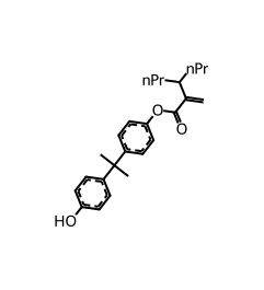 C=C(C(=O)Oc1ccc(C(C)(C)c2ccc(O)cc2)cc1)C(CCC)CCC